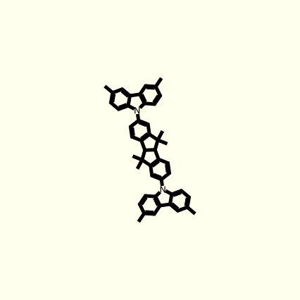 Cc1ccc2c(c1)c1cc(C)ccc1n2-c1ccc2c(c1)C(C)(C)C1c3ccc(-n4c5ccc(C)cc5c5cc(C)ccc54)cc3C(C)(C)C21